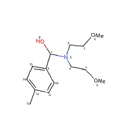 COCCN(CCOC)C(O)c1ccc(C)cc1